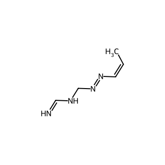 C/C=C\N=N\CNC=N